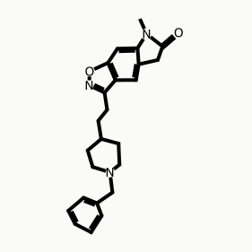 CN1C(=O)Cc2cc3c(CCC4CCN(Cc5ccccc5)CC4)noc3cc21